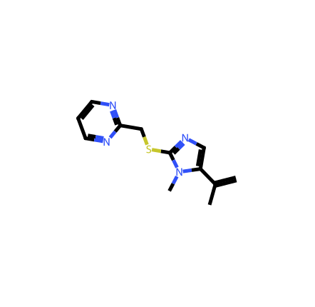 C=C(C)c1cnc(SCc2ncccn2)n1C